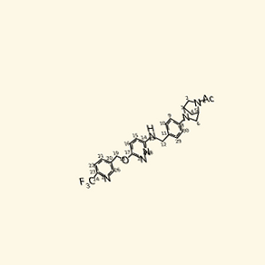 CC(=O)N1CC2CC1CN2c1ccc(CNc2ccc(OCc3ccc(C(F)(F)F)nc3)nn2)cc1